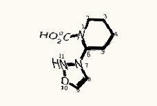 O=C(O)N1CCCCC1N1C=CON1